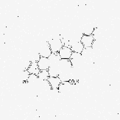 C[C@@H]1CN(Cc2ccc(F)cc2)[C@@H](C)CN1C(=O)COc1ccc(Cl)cc1Oc1ccnc(C(=O)O)c1